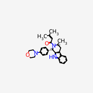 CC(C)=CC(=O)N1[C@@H](c2ccc(N3CCOCC3)cc2)c2[nH]c3ccccc3c2C[C@@H]1C